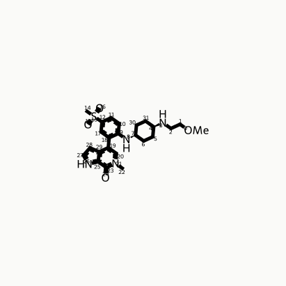 COCCN[C@H]1CC[C@H](Nc2ccc(S(C)(=O)=O)cc2-c2cn(C)c(=O)c3[nH]ccc23)CC1